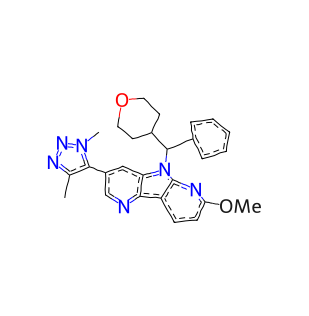 COc1ccc2c3ncc(-c4c(C)nnn4C)cc3n(C(c3ccccc3)C3CCOCC3)c2n1